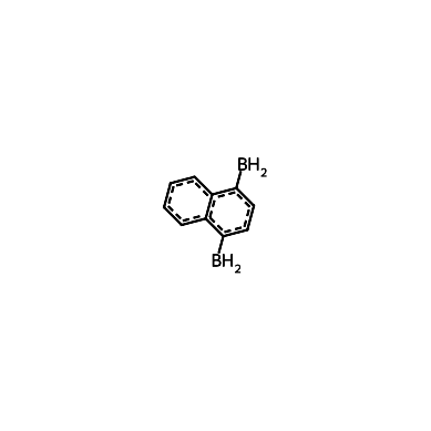 Bc1ccc(B)c2ccccc12